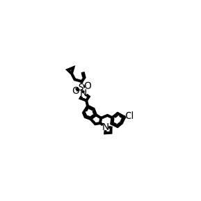 C=CC(CC1CC1)S(=O)(=O)N1CC(c2ccc3c(c2)C(Cc2cccc(Cl)c2)C(N2CCC2)C3)C1